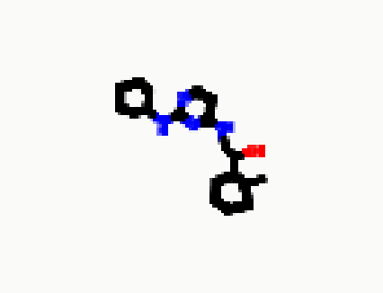 Cc1ccccc1C(O)CNc1ccnc(Nc2ccccc2)n1